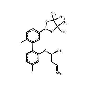 C=CC[C@H](C)Oc1cc(F)ccc1-c1cc(B2OC(C)(C)C(C)(C)O2)ccc1F